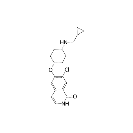 O=c1[nH]ccc2cc(O[C@H]3CC[C@@H](NCC4CC4)CC3)c(Cl)cc12